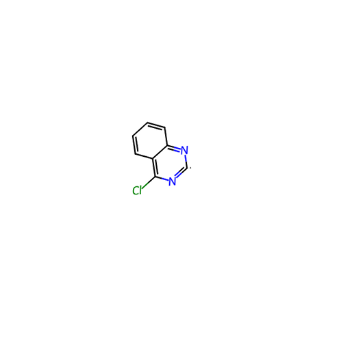 Clc1n[c]nc2ccccc12